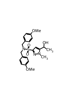 COc1ccc(CN(Cc2ccc(OC)cc2)S(=O)(=O)c2cc(C(C)O)n(C)n2)cc1